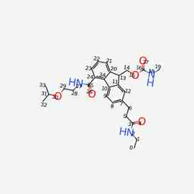 CCNC(=O)CCc1ccc2c(c1)C(COC(=O)NC)c1cccc(C(=O)NCCOC(C)C)c1-2